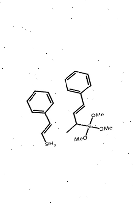 CO[Si](OC)(OC)C(C)C=Cc1ccccc1.[SiH3]C=Cc1ccccc1